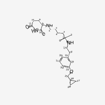 CC(C)(CCCCNC1CCC(=O)NC1=O)NCCc1cccc(OCC2CC2)c1